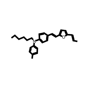 CC=Cc1ccc(C=Cc2ccc(N(CCCCCC)c3ccc(C)cc3)cc2)o1